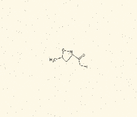 CC1CC(C(=O)CI)=NO1